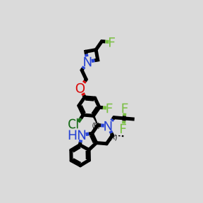 C[C@@H]1Cc2c([nH]c3ccccc23)[C@@H](c2c(F)cc(OCCN3CC(CF)C3)cc2Cl)N1CC(C)(F)F